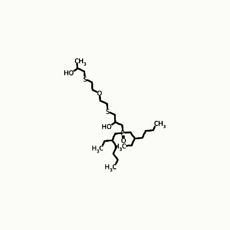 CCCCC(CC)CP(=O)(CC(O)CSCCOCCSCC(C)O)CC(CC)CCCC